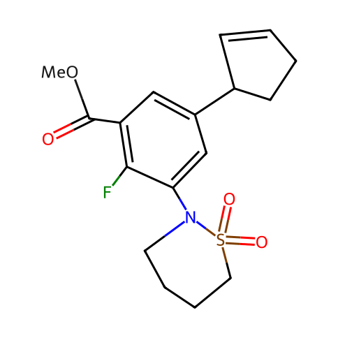 COC(=O)c1cc(C2C=CCC2)cc(N2CCCCS2(=O)=O)c1F